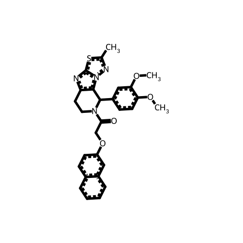 COc1ccc(C2c3c(nc4sc(C)nn34)CCN2C(=O)COc2ccc3ccccc3c2)cc1OC